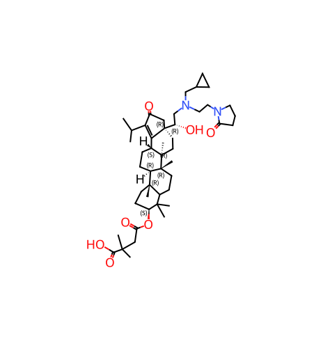 CC(C)C1=C2[C@H]3CC[C@@H]4[C@@]5(C)CC[C@H](OC(=O)CC(C)(C)C(=O)O)C(C)(C)C5CC[C@@]4(C)[C@]3(C)CC[C@@]2([C@@H](O)CN(CCN2CCCC2=O)CC2CC2)CC1=O